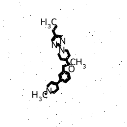 CCCc1cnc(N2CCC(C3(C)Cc4cc(C5=CCN(C)CC5)ccc4O3)CC2)nc1